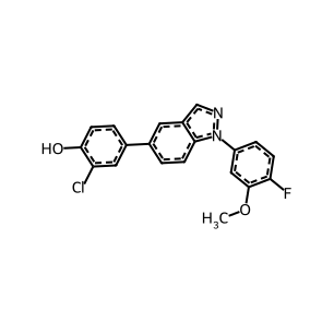 COc1cc(-n2ncc3cc(-c4ccc(O)c(Cl)c4)ccc32)ccc1F